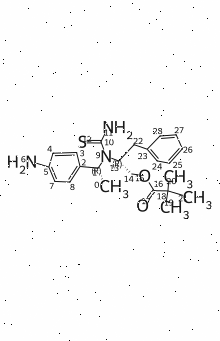 C[C@H](c1ccc(N)cc1)N(C(N)=S)[C@@H](COC(=O)C(C)(C)C)Cc1ccccc1